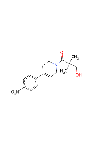 CC(C)(CO)C(=O)N1CC=C(c2ccc([N+](=O)[O-])cc2)CC1